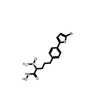 C[S+]([O-])C(CCCc1ccc(-c2ccc(Br)s2)cc1)C(=O)NO